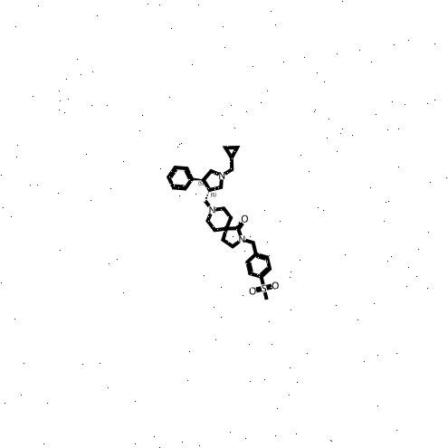 CS(=O)(=O)c1ccc(CN2CCC3(CCN(C[C@H]4CN(CC5CC5)C[C@@H]4c4ccccc4)CC3)C2=O)cc1